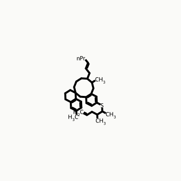 C=CCC(C)C(C)Sc1ccc2c(c1)CC(C)C(C/C=C/CCC)CCCC1(CCCc3cc(C)ccc31)C2